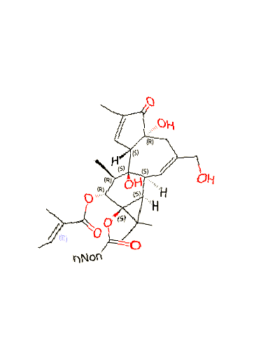 C/C=C(\C)C(=O)O[C@@H]1[C@@H](C)[C@@]2(O)[C@@H](C=C(CO)C[C@]3(O)C(=O)C(C)=C[C@@H]23)[C@H]2C(C)(C)[C@]12OC(=O)CCCCCCCCC